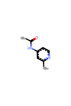 CC(C)(C)C(=O)Nc1ccnc(C(C)(C)C)c1